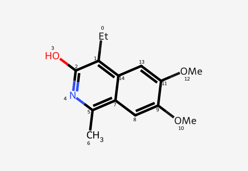 CCc1c(O)nc(C)c2cc(OC)c(OC)cc12